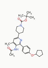 CC(=O)Nc1c(C)cc(C2CCN(C(=O)OC(C)(C)C)CC2)nc1-c1ccc(OC2CCCC2)cc1